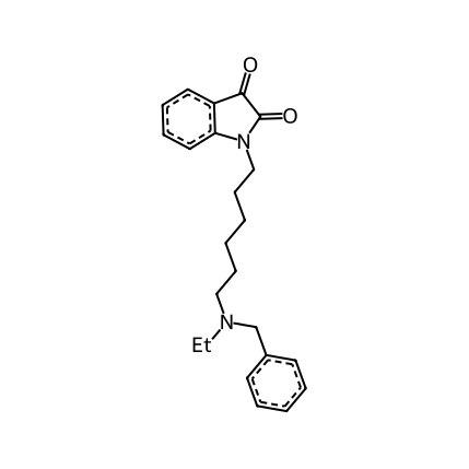 CCN(CCCCCCN1C(=O)C(=O)c2ccccc21)Cc1ccccc1